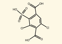 O=C(O)c1cc(Cl)c(C(=O)O)c(Cl)c1S(=O)(=O)O